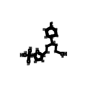 Cc1ccc(N(CCO)CCc2ccc(S(=O)(=O)O)o2)cc1